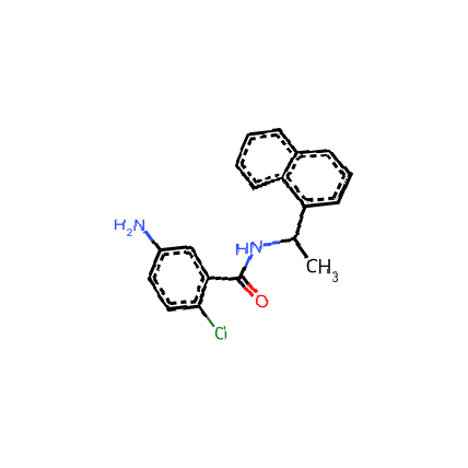 CC(NC(=O)c1cc(N)ccc1Cl)c1cccc2ccccc12